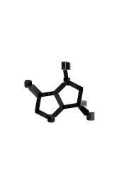 CCN1C[C@@H](Cl)C2OCC(=O)C21